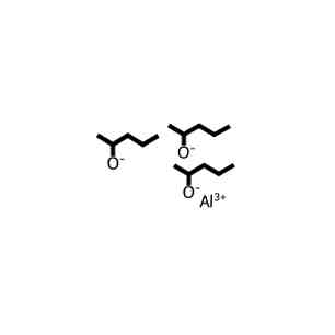 CCCC(C)[O-].CCCC(C)[O-].CCCC(C)[O-].[Al+3]